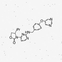 CC(C)C1COC(=O)N1c1ccnc(NCc2ccc(Oc3cncnc3)cc2)n1